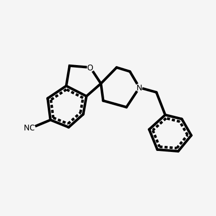 N#Cc1ccc2c(c1)COC21CCN(Cc2ccccc2)CC1